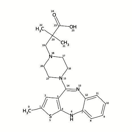 Cc1cc2c(s1)Nc1ccccc1N=C2N1CCN(CC(C)(C)C(=O)O)CC1